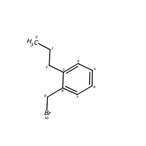 CCCc1ccccc1CBr